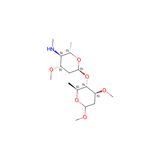 CN[C@H]1[C@H](C)O[C@@H](O[C@H]2[C@H](C)OC(OC)C[C@@H]2OC)C[C@@H]1OC